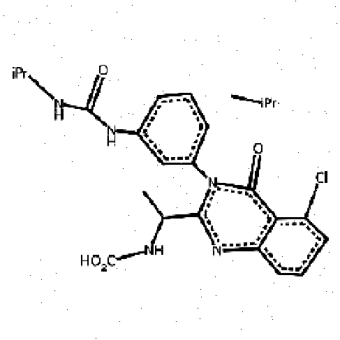 CC(C)NC(=O)Nc1cccc(-n2c(C(C)NC(=O)O)nc3cccc(Cl)c3c2=O)c1.C[C](C)C